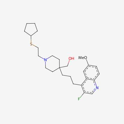 COc1ccc2ncc(F)c(CCCC3(CO)CCN(CCSC4CCCC4)CC3)c2c1